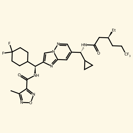 CC[C@@H](CCC(F)(F)F)CC(=O)N[C@@H](c1cnn2cc([C@@H](NC(=O)c3nonc3C)C3CCC(F)(F)CC3)nc2c1)C1CC1